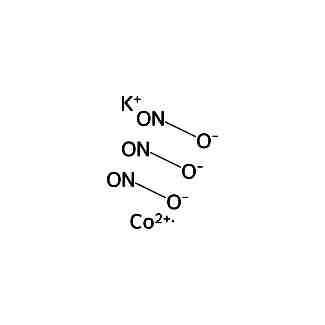 O=N[O-].O=N[O-].O=N[O-].[Co+2].[K+]